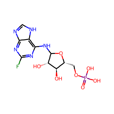 O=P(O)(O)OC[C@H]1OC(Nc2nc(F)nc3nc[nH]c23)[C@@H](O)[C@@H]1O